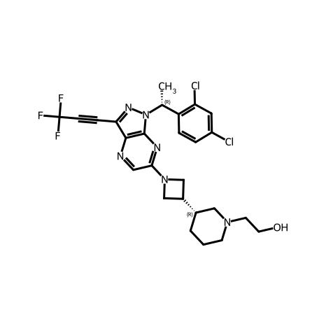 C[C@H](c1ccc(Cl)cc1Cl)n1nc(C#CC(F)(F)F)c2ncc(N3CC([C@H]4CCCN(CCO)C4)C3)nc21